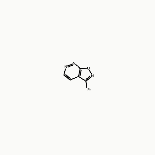 CC(C)c1noc2nnccc12